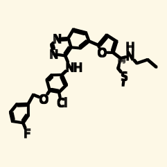 CCCN[C@@H](CSC)c1ccc(-c2ccc3ncnc(Nc4ccc(OCc5cccc(F)c5)c(Cl)c4)c3c2)o1